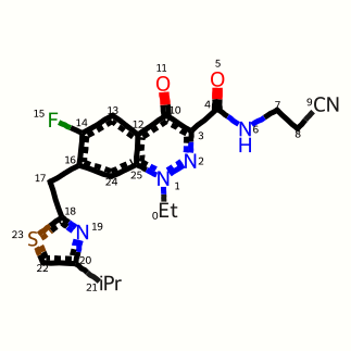 CCn1nc(C(=O)NCCC#N)c(=O)c2cc(F)c(Cc3nc(C(C)C)cs3)cc21